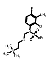 CCCS(=O)(=O)N(COCC[Si](C)(C)C)c1ccc(F)c(N)c1Cl